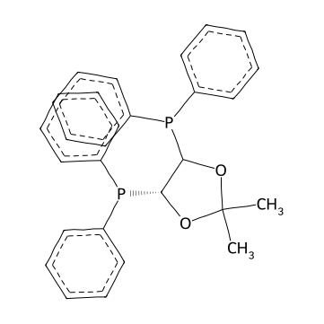 CC1(C)OC(P(c2ccccc2)c2ccccc2)[C@@H](P(c2ccccc2)c2ccccc2)O1